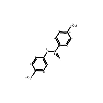 CCCCCCCCc1ccc(O[PH](=O)c2ccc(CCCCCCCC)cc2)cc1